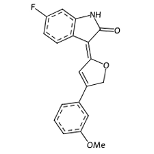 COc1cccc(C2=C/C(=C3/C(=O)Nc4cc(F)ccc43)OC2)c1